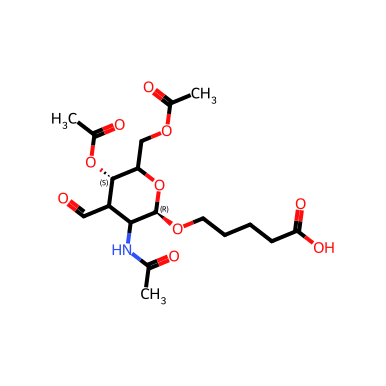 CC(=O)NC1C(C=O)[C@H](OC(C)=O)C(COC(C)=O)O[C@H]1OCCCCC(=O)O